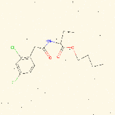 CCCCOC(=O)C(CC)NC(=O)Cc1ccc(Cl)cc1Cl